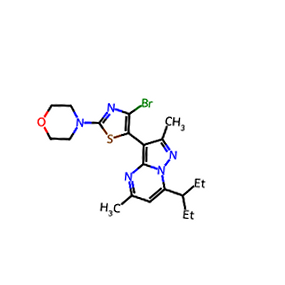 CCC(CC)c1cc(C)nc2c(-c3sc(N4CCOCC4)nc3Br)c(C)nn12